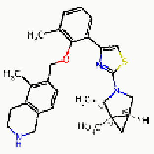 Cc1cccc(-c2csc(N3C[C@H]4C[C@@]4(C(=O)O)[C@@H]3C)n2)c1OCc1ccc2c(c1C)CCNC2